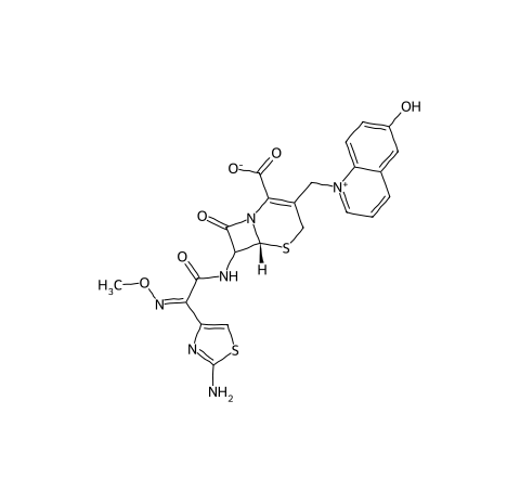 CO/N=C(\C(=O)NC1C(=O)N2C(C(=O)[O-])=C(C[n+]3cccc4cc(O)ccc43)CS[C@H]12)c1csc(N)n1